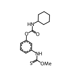 COC(=S)Nc1cccc(OC(=O)NC2CCCCC2)c1